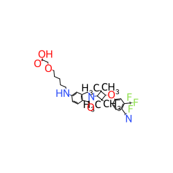 CC1(C)[C@H](Oc2ccc(C#N)c(C(F)(F)F)c2)C(C)(C)[C@H]1N1Cc2cc(NCCCCCOCC(=O)O)ccc2C1=O